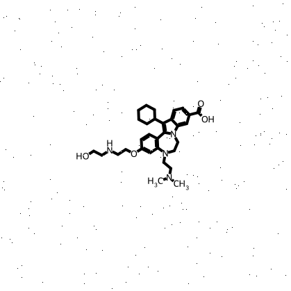 CN(C)CCN1CCn2c(c(C3CCCCC3)c3ccc(C(=O)O)cc32)-c2ccc(OCCNCCO)cc21